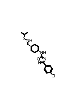 CC(C)SNC[C@H]1CC[C@H](Nc2nc(-c3ccc(Cl)cc3)no2)CC1